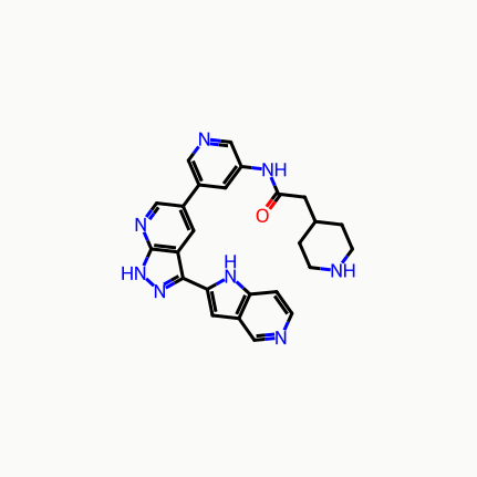 O=C(CC1CCNCC1)Nc1cncc(-c2cnc3[nH]nc(-c4cc5cnccc5[nH]4)c3c2)c1